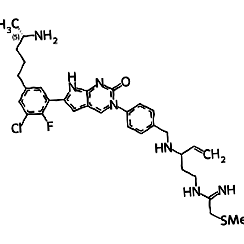 C=CC(CCNC(=N)CSC)NCc1ccc(-n2cc3cc(-c4cc(CCC[C@H](C)N)cc(Cl)c4F)[nH]c3nc2=O)cc1